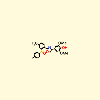 COc1cc([C@H]2COC(c3ccc(C(F)(F)F)cc3[S@@+]([O-])c3ccc(C)cc3)=N2)cc(OC)c1O